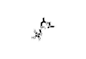 CC(O)CN.CN(C)C.COS(=O)(=O)O